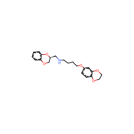 c1ccc2c(c1)OC[C@H](CNCCCCOc1ccc3c(c1)OCCO3)O2